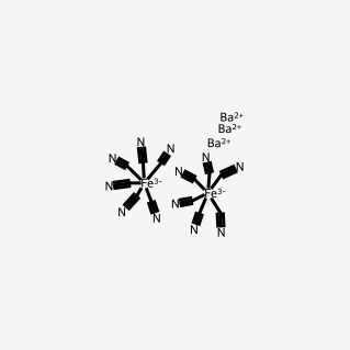 N#[C][Fe-3]([C]#N)([C]#N)([C]#N)([C]#N)[C]#N.N#[C][Fe-3]([C]#N)([C]#N)([C]#N)([C]#N)[C]#N.[Ba+2].[Ba+2].[Ba+2]